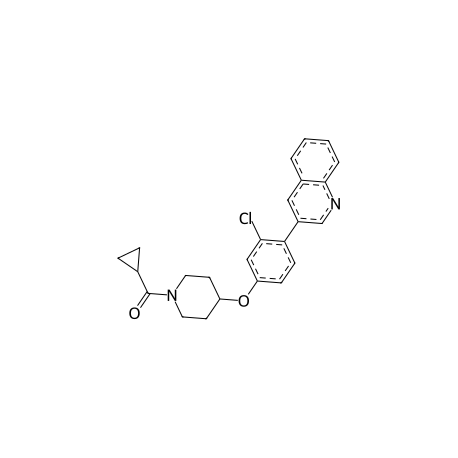 O=C(C1CC1)N1CCC(Oc2ccc(-c3cnc4ccccc4c3)c(Cl)c2)CC1